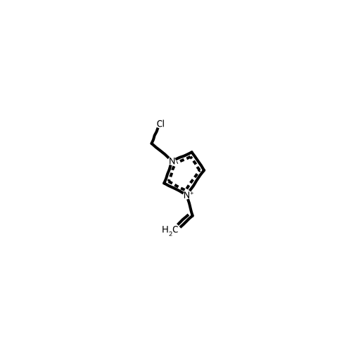 C=C[n+]1ccn(CCl)c1